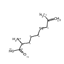 C=C(C)CSCCCC(N)C(=O)O